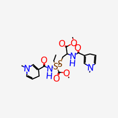 CCS(NC(=O)C1=CN(C)C=CC1)(SCC(NC(=O)C1=CN(C)C=CC1)C(=O)OC)C(=O)OC